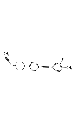 CC#CCC1CCC(c2ccc(C#Cc3ccc(C)c(F)c3)cc2)CC1